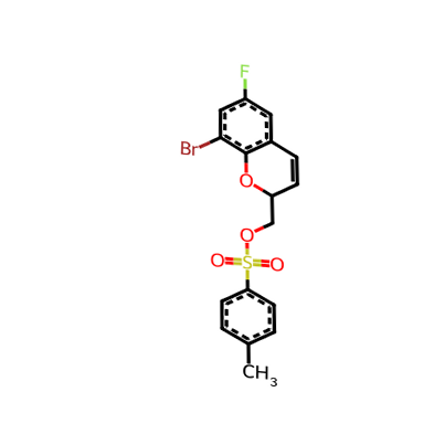 Cc1ccc(S(=O)(=O)OCC2C=Cc3cc(F)cc(Br)c3O2)cc1